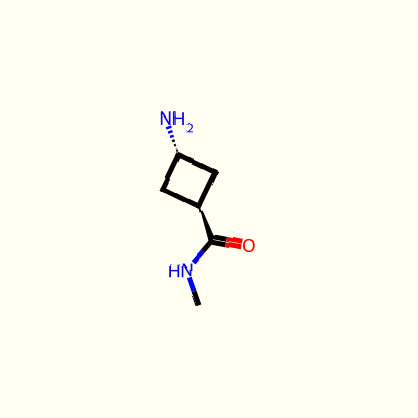 CNC(=O)[C@H]1C[C@H](N)C1